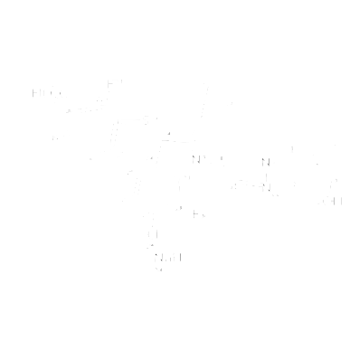 CC(C)(CO)Cn1cc(-n2c(C3CC3)c(Sc3cccc(C(=O)O)c3F)c3ccc(Cl)c(F)c32)cn1.[NaH]